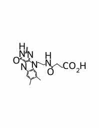 C=c1nc2c(c(=O)[nH]1)=Nc1cc(C)c(C)cc1N2CCNC(=O)CCC(=O)O